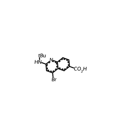 CC(C)(C)Nc1cc(Br)c2cc(C(=O)O)ccc2n1